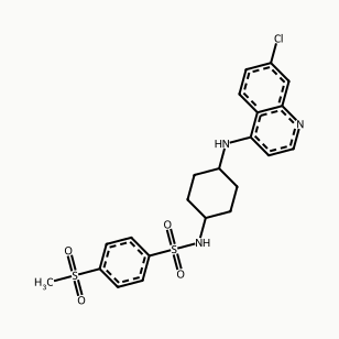 CS(=O)(=O)c1ccc(S(=O)(=O)NC2CCC(Nc3ccnc4cc(Cl)ccc34)CC2)cc1